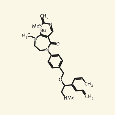 C=C/C=C(\C=C/C)C(CNC)OCc1ccc(N2CCN(C)C(C(C)CC)=C(/C=N\C(=C)SC)C2=O)cc1